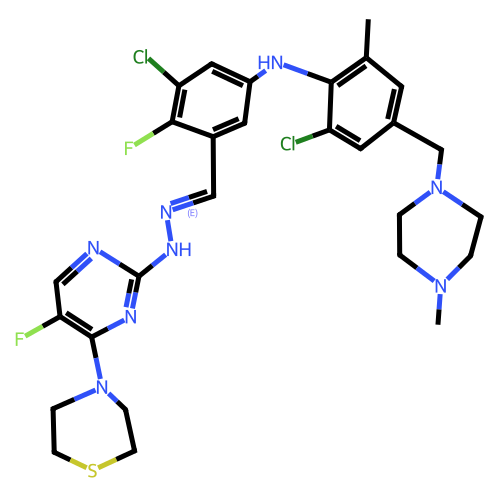 Cc1cc(CN2CCN(C)CC2)cc(Cl)c1Nc1cc(Cl)c(F)c(/C=N/Nc2ncc(F)c(N3CCSCC3)n2)c1